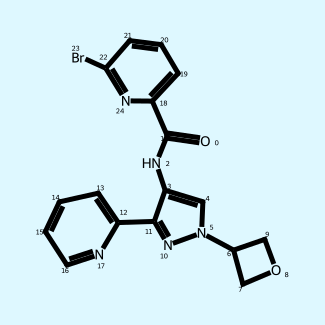 O=C(Nc1cn(C2COC2)nc1-c1ccccn1)c1cccc(Br)n1